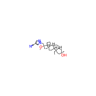 CC[C@]12CC[C@@](C)(O)C[C@H]1CC[C@H]1[C@@H]3CC[C@H]([C@@](C)(Cn4cc(C#N)cn4)OC)[C@@]3(C)CC[C@@H]12